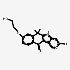 CC1(C)c2cc(OCCCO)ccc2C(=O)c2c1[nH]c1cc(Cl)ncc21